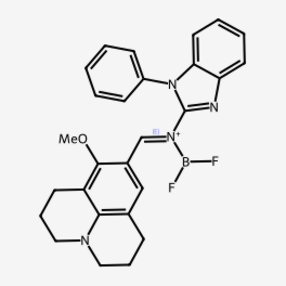 COc1c(/C=[N+](\B(F)F)c2nc3ccccc3n2-c2ccccc2)cc2c3c1CCCN3CCC2